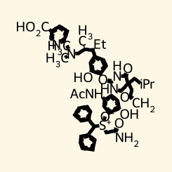 C=CCC1(CC(C)C)C(=O)NC(=O)NC1=O.CC(=O)Nc1ccc(O)cc1.CC[C@@H](c1cccc(O)c1)[C@@H](C)CN(C)C.NC(=O)C[S+]([O-])C(c1ccccc1)c1ccccc1.O=C(O)c1cccnc1